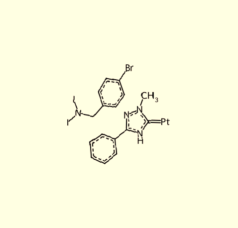 Brc1ccc(CN(I)I)cc1.Cn1nc(-c2ccccc2)[nH][c]1=[Pt]